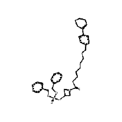 O=C(CCCCCCCCc1ccc(C2=CCCCC2)cc1)N1CC(OP(=O)(OCc2ccccc2)OCc2ccccc2)C1